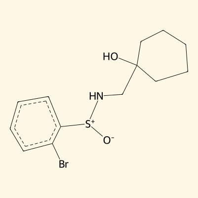 [O-][S+](NCC1(O)CCCCC1)c1ccccc1Br